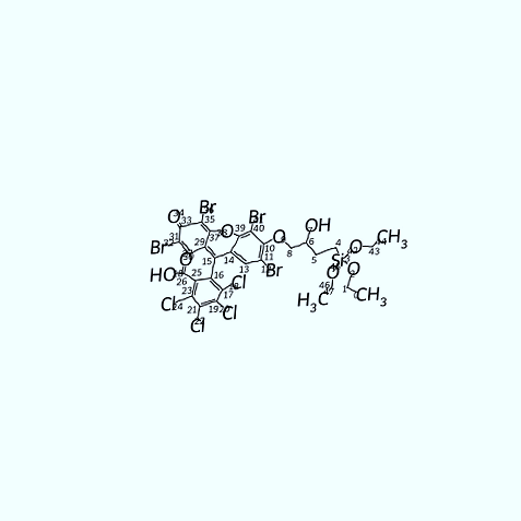 CCO[Si](CCC(O)COc1c(Br)cc2c(-c3c(Cl)c(Cl)c(Cl)c(Cl)c3C(=O)O)c3cc(Br)c(=O)c(Br)c-3oc2c1Br)(OCC)OCC